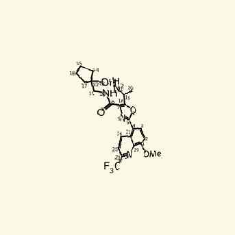 COc1ccc(-c2nc(C(=O)NCC3(O)CCCC3)c([C@H](C)N)o2)c2ccc(C(F)(F)F)nc12